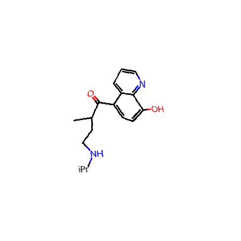 CC(C)NCCC(C)C(=O)c1ccc(O)c2ncccc12